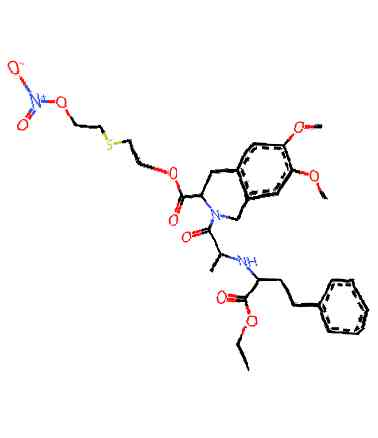 CCOC(=O)C(CCc1ccccc1)NC(C)C(=O)N1Cc2cc(OC)c(OC)cc2CC1C(=O)OCCSCCO[N+](=O)[O-]